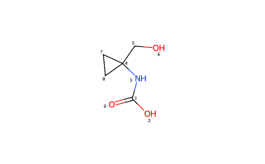 O=C(O)NC1(CO)CC1